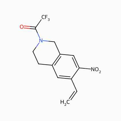 C=Cc1cc2c(cc1[N+](=O)[O-])CN(C(=O)C(F)(F)F)CC2